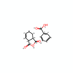 O=C(O)c1ccccc1.O=C1OC(=O)C2CCC=CC12